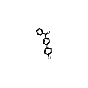 O=C(c1ccccc1)c1ccc(-c2ccc(Cl)cc2)cc1